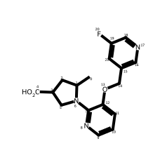 CC1CC(C(=O)O)CN1c1ncccc1OCc1cncc(F)c1